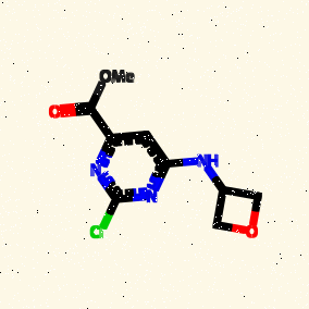 COC(=O)c1cc(NC2COC2)nc(Cl)n1